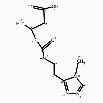 CC(CC(=O)O)CC(=O)NCCc1nncn1C